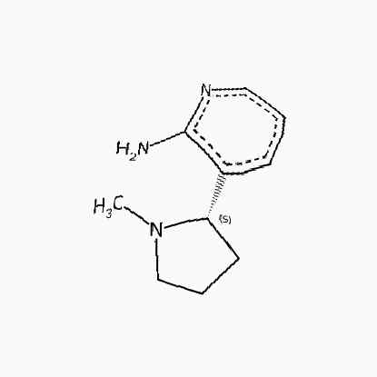 CN1CCC[C@H]1c1cccnc1N